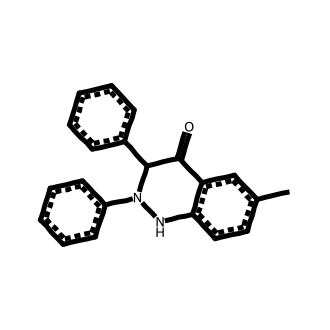 Cc1ccc2c(c1)C(=O)C(c1ccccc1)N(c1ccccc1)N2